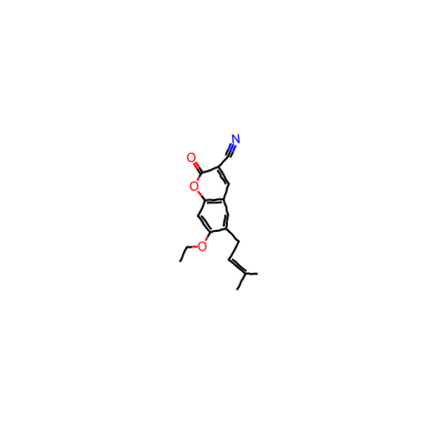 CCOc1cc2oc(=O)c(C#N)cc2cc1CC=C(C)C